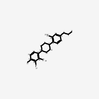 CCCc1ccc(C2CCC(c3ccc(C)c(F)c3F)CC2)c(F)c1